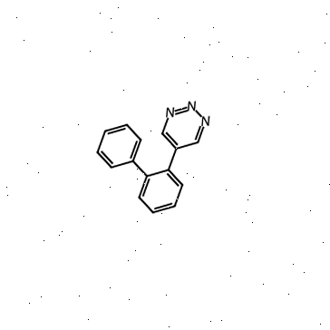 c1ccc(-c2ccccc2-c2cnnnc2)cc1